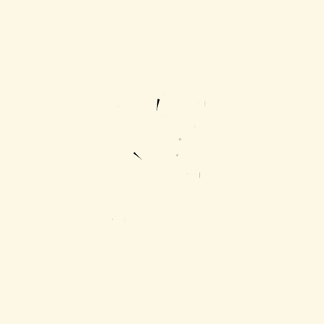 CO[C@H]([C@H](O)[C@H](O)CCO)[C@H](O)C=O